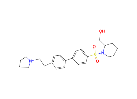 CC1CCCN1CCc1ccc(-c2ccc(S(=O)(=O)N3CCCCC3CO)cc2)cc1